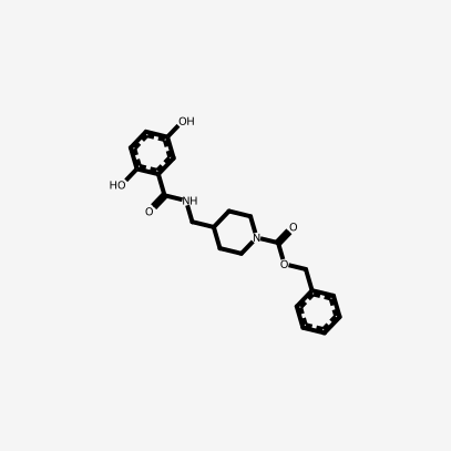 O=C(NCC1CCN(C(=O)OCc2ccccc2)CC1)c1cc(O)ccc1O